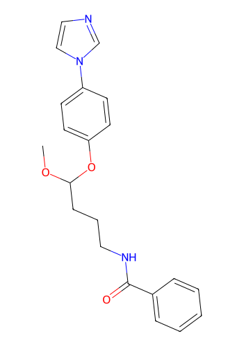 COC(CCCNC(=O)c1ccccc1)Oc1ccc(-n2ccnc2)cc1